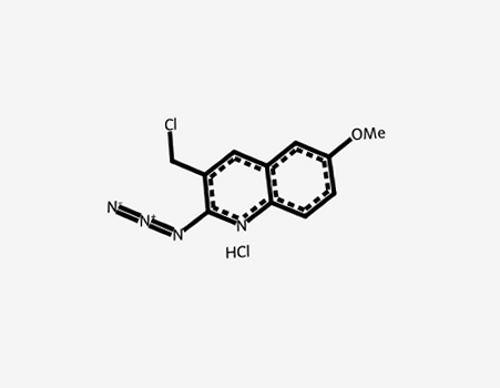 COc1ccc2nc(N=[N+]=[N-])c(CCl)cc2c1.Cl